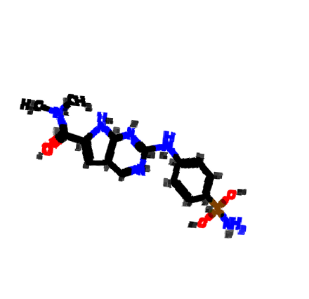 CN(C)C(=O)c1cc2cnc(Nc3ccc(S(N)(=O)=O)cc3)nc2[nH]1